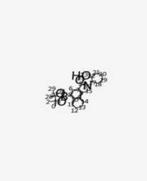 CC1(C)OB(c2cc3c(c4c2=CCCC=4)CN([C@H]2CCCC[C@@H]2O)C3=O)OC1(C)C